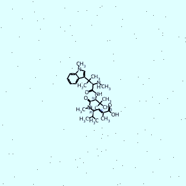 CNC(C(=O)N[C@H](C(=O)N(C)[C@@H](/C=C(\C)C(=O)O)C(C)C)C(C)(C)C)C(C)(C)c1cn(C)c2ccccc12